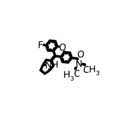 CCN(CC)C(=O)c1ccc2c(c1)Oc1ccc(F)cc1C2=C1CC2CCC(C1)N2